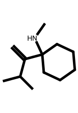 C=C(C(C)C)C1(NC)CCCCC1